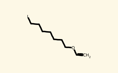 C=COCCCCCCCI